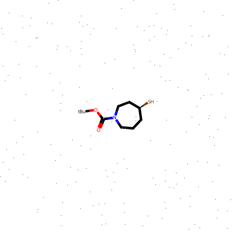 CC(C)(C)OC(=O)N1CCC[C@H](S)CC1